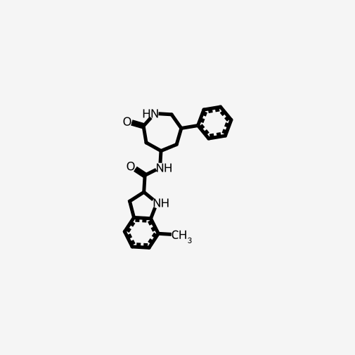 Cc1cccc2c1NC(C(=O)NC1CC(=O)NCC(c3ccccc3)C1)C2